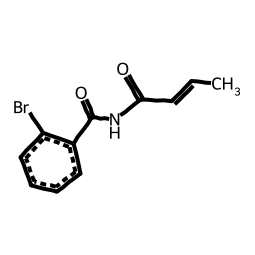 CC=CC(=O)NC(=O)c1ccccc1Br